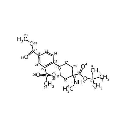 CNC1(C(=O)OC(C)(C)C)CCN(c2ccc(C(=O)OC)cc2S(C)(=O)=O)CC1